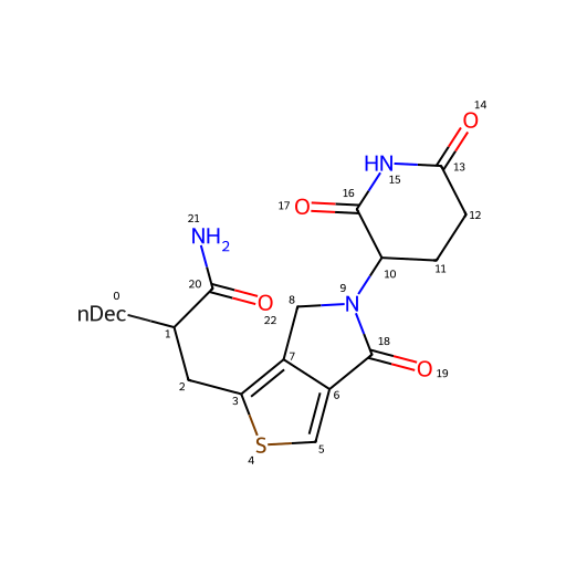 CCCCCCCCCCC(Cc1scc2c1CN(C1CCC(=O)NC1=O)C2=O)C(N)=O